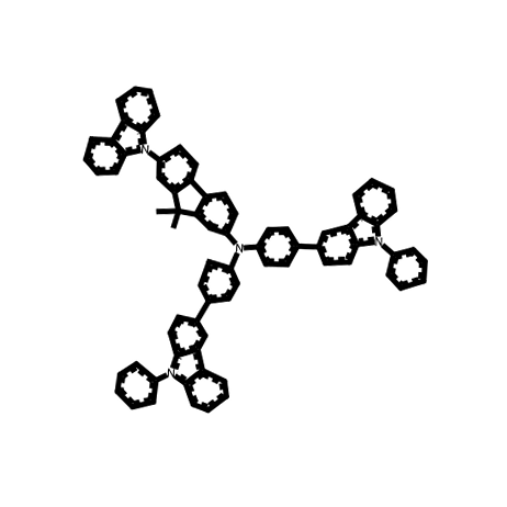 CC1(C)c2cc(N(c3ccc(-c4ccc5c(c4)c4ccccc4n5-c4ccccc4)cc3)c3ccc(-c4ccc5c(c4)c4ccccc4n5-c4ccccc4)cc3)ccc2-c2ccc(-n3c4ccccc4c4ccccc43)cc21